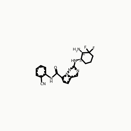 N#Cc1ccccc1NC(=O)c1ccc2cnc(N[C@@H]3CCCC(F)(F)[C@@H]3N)nn12